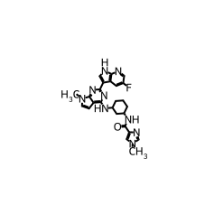 Cn1cnc(C(=O)NC2CCCC(Nc3nc(-c4c[nH]c5ncc(F)cc45)nc4c3ccn4C)C2)c1